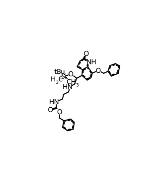 CC(C)(C)[Si](C)(C)OC(CNCCCNC(=O)OCc1ccccc1)c1ccc(OCc2ccccc2)c2[nH]c(=O)ccc12